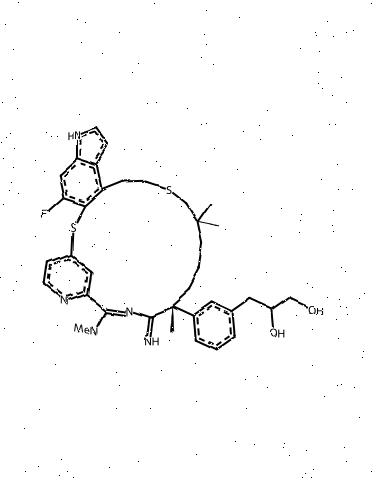 CN/C1=N\C(=N)[C@@](C)(c2cccc(CC(O)CO)c2)CCCC(C)(C)CSCCc2c(c(F)cc3[nH]ccc23)Sc2ccnc1c2